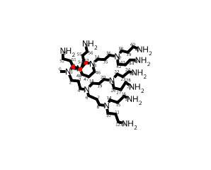 CN(CCCN(CCCN(CCCN)CCCN)CCCN(CCCN)CCCN)CCCN(CCCN(CCCN)CCCN)CCCN(CCCN)CCCN